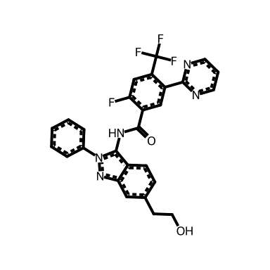 O=C(Nc1c2ccc(CCO)cc2nn1-c1ccccc1)c1cc(-c2ncccn2)c(C(F)(F)F)cc1F